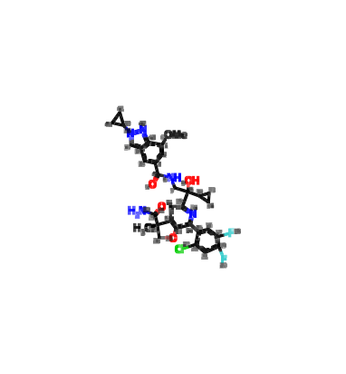 COc1cc(C(=O)NCC(O)(c2cc3c(c(-c4cc(F)c(F)cc4Cl)n2)OC[C@]3(C)C(N)=O)C2CC2)cc2cn(C3CC3)nc12